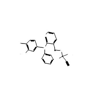 C#CC(C)(C)NC(=O)c1cccnc1N(c1ccccc1)c1ccc(Cl)c(OC)c1